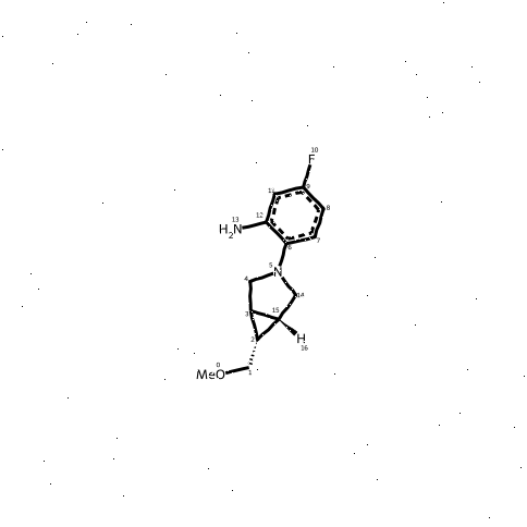 COC[C@@H]1C2CN(c3ccc(F)cc3N)C[C@@H]21